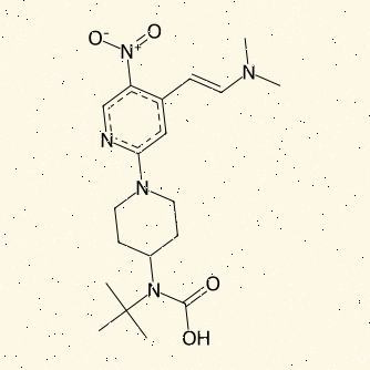 CN(C)/C=C/c1cc(N2CCC(N(C(=O)O)C(C)(C)C)CC2)ncc1[N+](=O)[O-]